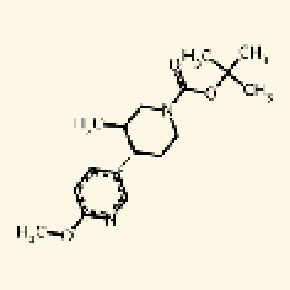 COc1ccc([C@H]2CCN(C(=O)OC(C)(C)C)C[C@@H]2C)cn1